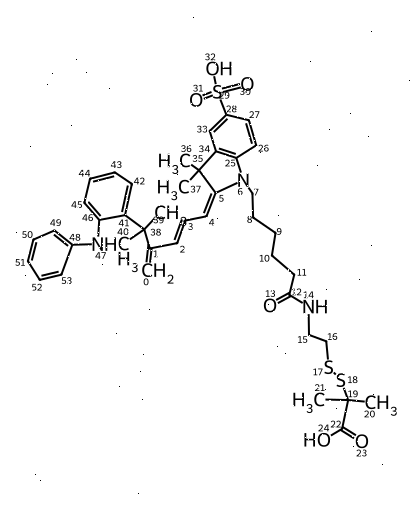 C=C(/C=C/C=C1/N(CCCCCC(=O)NCCSSC(C)(C)C(=O)O)c2ccc(S(=O)(=O)O)cc2C1(C)C)C(C)(C)c1ccccc1Nc1ccccc1